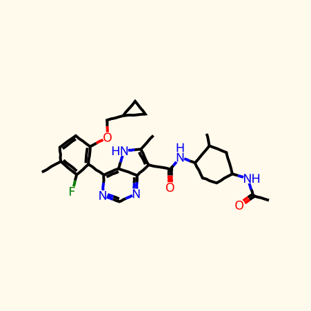 CC(=O)NC1CCC(NC(=O)c2c(C)[nH]c3c(-c4c(OCC5CC5)ccc(C)c4F)ncnc23)C(C)C1